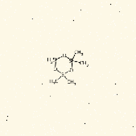 C[Si]1(C)O[SiH2]O[Si](C)(C)O1